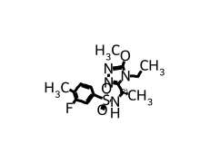 CCn1c(OC)nnc1[C@@H](C)NS(=O)(=O)c1ccc(C)c(F)c1